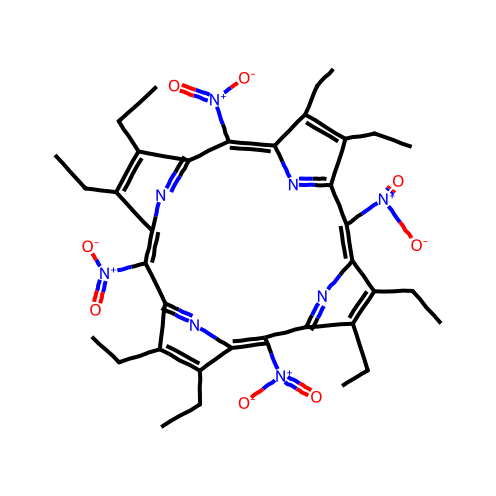 CCC1=C(CC)C2=C([N+](=O)[O-])C3=NC(=C([N+](=O)[O-])C4=NC(=C([N+](=O)[O-])C5=NC(=C([N+](=O)[O-])C1=N2)C(CC)=C5CC)C(CC)=C4CC)C(CC)=C3CC